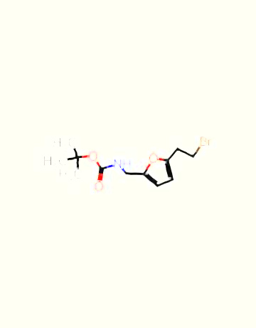 CC(C)(C)OC(=O)NCc1ccc(CCBr)o1